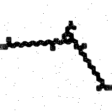 CN(C)Cc1cc(COC(=O)CCCCCCCCCCC(=O)O)cc(COC(=O)CCCCCCCCCCC(=O)O)c1